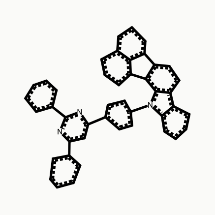 c1ccc(-c2cc(-c3ccc(-n4c5ccccc5c5ccc6c(c54)-c4cccc5cccc-6c45)cc3)nc(-c3ccccc3)n2)cc1